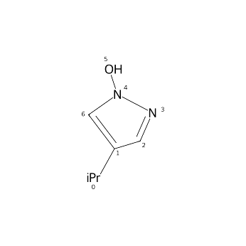 CC(C)c1cnn(O)c1